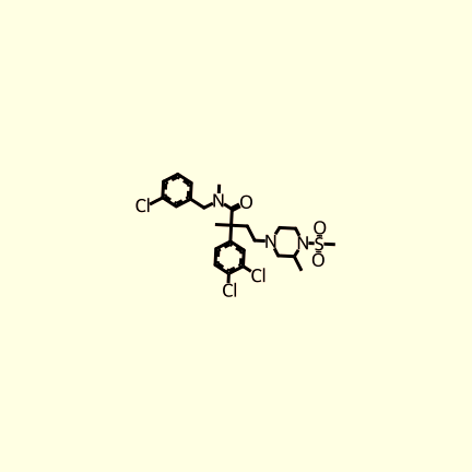 CC1CN(CCC(C)(C(=O)N(C)Cc2cccc(Cl)c2)c2ccc(Cl)c(Cl)c2)CCN1S(C)(=O)=O